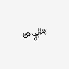 Cc1ccsc1CNC1=NC(=O)/C(=C/Cc2ccc3ncccc3c2)S1